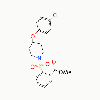 COC(=O)c1ccccc1S(=O)(=O)N1CCC(Oc2ccc(Cl)cc2)CC1